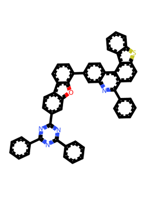 c1ccc(-c2nc(-c3ccccc3)nc(-c3ccc4c(c3)oc3c(-c5ccc6c(c5)nc(-c5ccccc5)c5ccc7sc8ccccc8c7c56)cccc34)n2)cc1